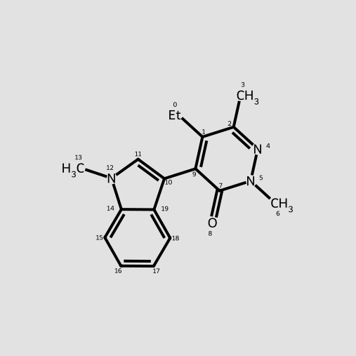 CCc1c(C)nn(C)c(=O)c1-c1cn(C)c2ccccc12